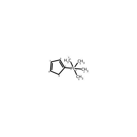 [CH3][Pt]([CH3])([CH3])([CH3])[C]1=CC=CC1